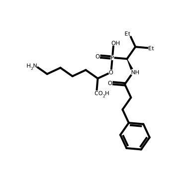 CCC(CC)[C@@H](NC(=O)CCc1ccccc1)P(=O)(O)OC(CCCCN)C(=O)O